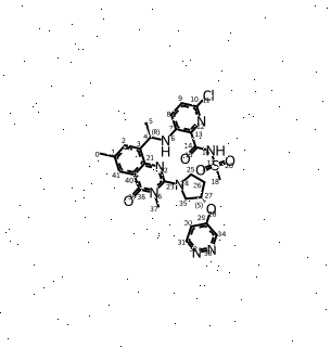 Cc1cc([C@@H](C)Nc2ccc(Cl)nc2C(=O)NS(C)(=O)=O)c2nc(N3CC[C@H](Oc4ccnnc4)C3)n(C)c(=O)c2c1